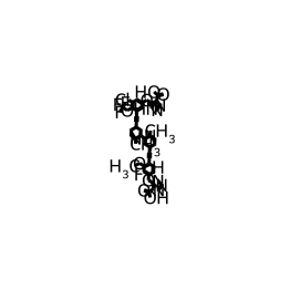 COc1c(C#CC2CCN(C)C(C3CC(C#Cc4cc(Oc5[nH]nnc5C(=O)O)cc(Cl)c4OC(F)(F)F)CCN3C)C2)ccc(Oc2[nH]nnc2C(=O)O)c1F